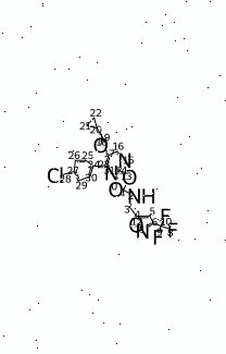 O=C(NCc1cc(C(F)(F)F)no1)Oc1ncc(OCC2CC2)c(-c2ccc(Cl)cc2)n1